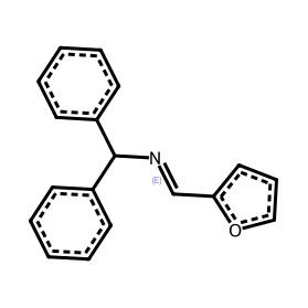 C(=N\C(c1ccccc1)c1ccccc1)/c1ccco1